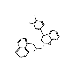 Cc1ccc(C2C[C@@H](CN(C)Cc3cccc4ccccc34)Oc3ccccc32)cc1C